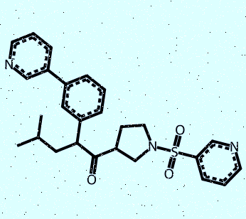 CC(C)CC(C(=O)C1CCN(S(=O)(=O)c2cccnc2)C1)c1cccc(-c2cccnc2)c1